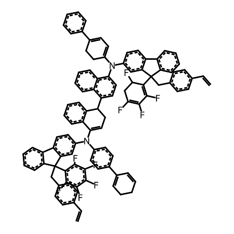 C=Cc1ccc(CC2(C3=C(F)C(F)=C(F)CC3F)c3ccccc3-c3ccc(N(C4=CC=C(c5ccccc5)CC4)c4ccc(C5CC=C(N(c6ccc(C7=CCCC=C7)cc6)c6ccc7c(c6)C(Cc6ccc(C=C)cc6)(c6c(F)c(F)c(F)c(F)c6F)c6ccccc6-7)c6ccccc65)c5ccccc45)cc32)cc1